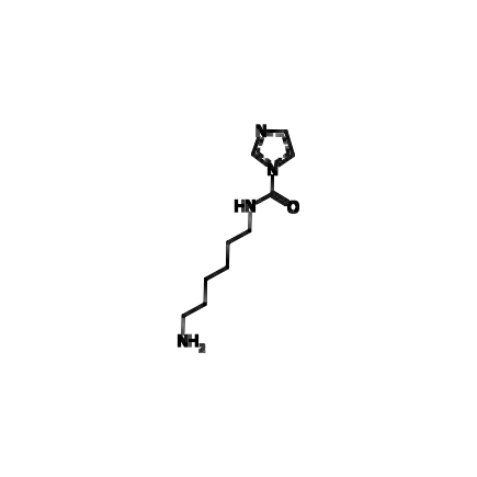 NCCCCCCNC(=O)n1ccnc1